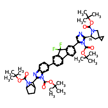 CC(C)(C)OC(=O)N1C2CCC(C2)C1c1nc2ccc(-c3ccc4c(c3)C(F)(F)c3cc(-c5cnc([C@@H]6CC7(CC7)CN6C(=O)OC(C)(C)C)n5C(=O)OC(C)(C)C)ccc3-4)cc2n1C(=O)OC(C)(C)C